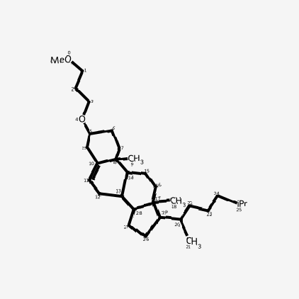 COCCCOC1CCC2(C)C(=CCC3C2CCC2(C)C(C(C)CCCC(C)C)CCC32)C1